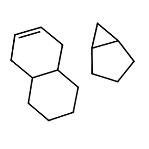 C1=CCC2CCCCC2C1.C1CC2CC2C1